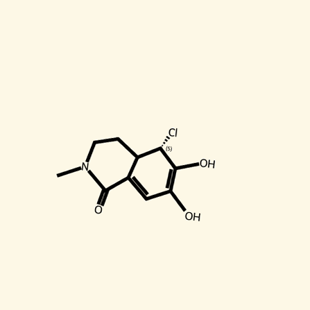 CN1CCC2C(=CC(O)=C(O)[C@H]2Cl)C1=O